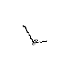 CCCCCCCCCS(=O)(=O)CCCCCC